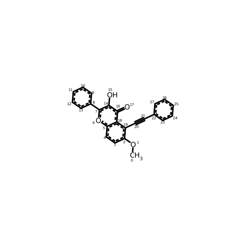 COc1ccc2oc(-c3ccccc3)c(O)c(=O)c2c1C#Cc1ccccc1